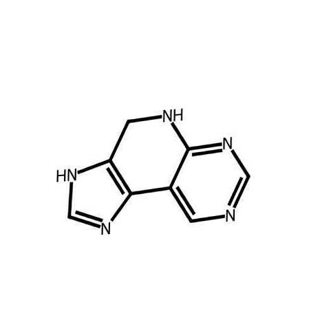 c1ncc2c(n1)NCc1[nH]cnc1-2